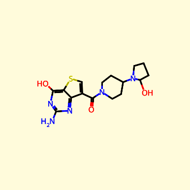 Nc1nc(O)c2scc(C(=O)N3CCC(N4CCCC4O)CC3)c2n1